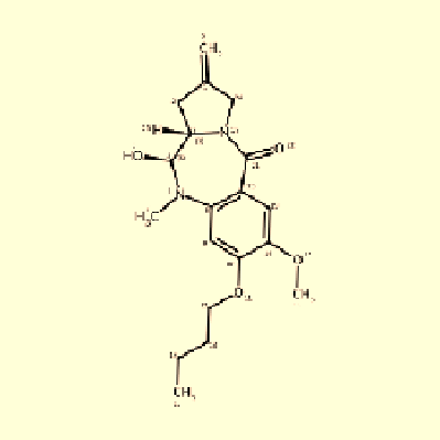 C=C1C[C@H]2[C@H](O)N(C)c3cc(OCCCC)c(OC)cc3C(=O)N2C1